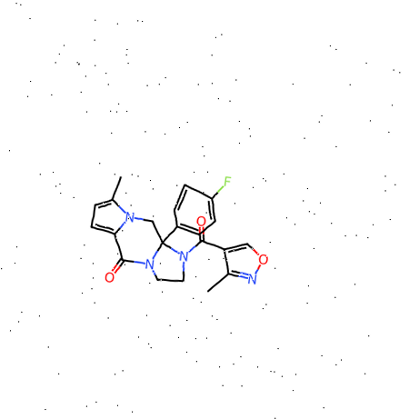 Cc1nocc1C(=O)N1CCN2C(=O)c3ccc(C)n3CC12c1ccc(F)cc1